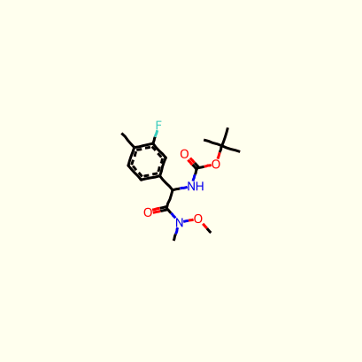 CON(C)C(=O)C(NC(=O)OC(C)(C)C)c1ccc(C)c(F)c1